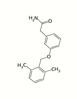 Cc1cccc(C)c1COc1cccc(CC(N)=O)c1